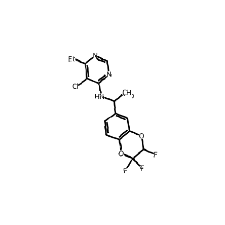 CCc1ncnc(NC(C)c2ccc3c(c2)OC(F)C(F)(F)O3)c1Cl